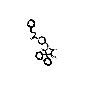 C=C1C(=N)N(CC2CCN(C(=O)CCc3ccccc3)CC2)C(=O)C1(c1ccccc1)c1ccccc1